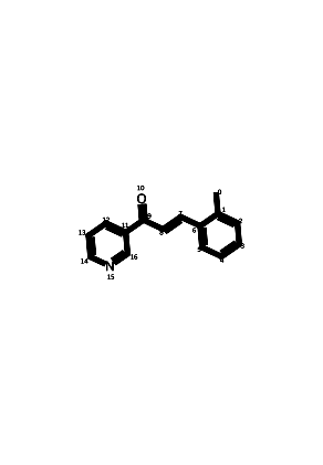 Cc1ccccc1C=CC(=O)c1cccnc1